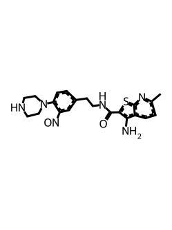 Cc1ccc2c(N)c(C(=O)NCCc3ccc(N4CCNCC4)c(N=O)c3)sc2n1